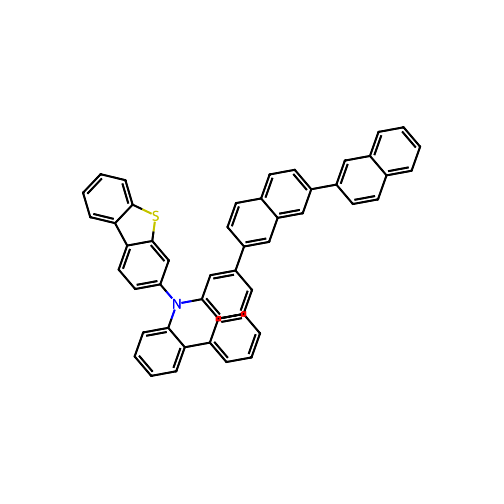 c1ccc(-c2ccccc2N(c2cccc(-c3ccc4ccc(-c5ccc6ccccc6c5)cc4c3)c2)c2ccc3c(c2)sc2ccccc23)cc1